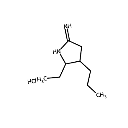 CCCC1CC(=N)NC1CC.Cl